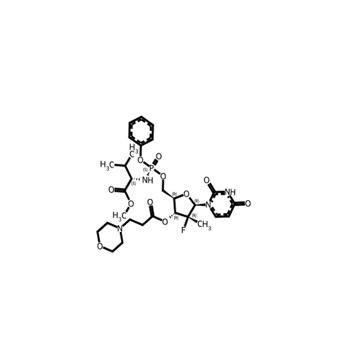 COC(=O)[C@@H](N[P@](=O)(OC[C@H]1O[C@@H](n2ccc(=O)[nH]c2=O)[C@](C)(F)[C@@H]1OC(=O)CCN1CCOCC1)Oc1ccccc1)C(C)C